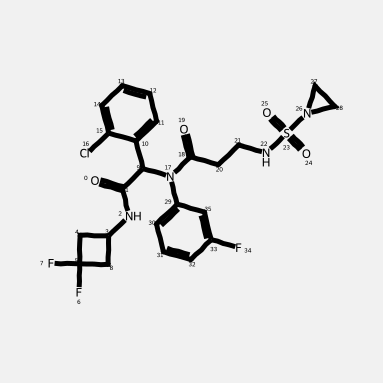 O=C(NC1CC(F)(F)C1)C(c1ccccc1Cl)N(C(=O)CCNS(=O)(=O)N1CC1)c1cccc(F)c1